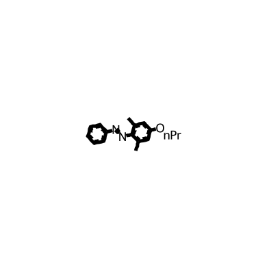 CCCOc1cc(C)c(N=Nc2ccccc2)c(C)c1